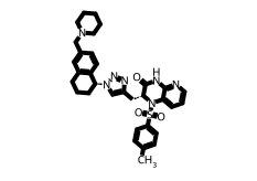 Cc1ccc(S(=O)(=O)N2c3cccnc3NC(=O)[C@H]2Cc2cn([C@@H]3CCCc4cc(CN5CCCCC5)ccc43)nn2)cc1